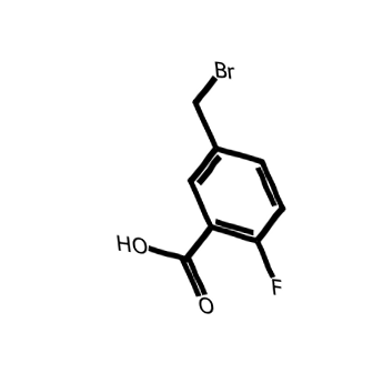 O=C(O)c1cc(CBr)ccc1F